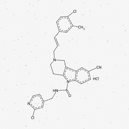 Cc1cc(/C=C/CN2CCc3c(c4cc(C#N)ccc4n3C(=O)NCc3ccnc(Cl)c3)C2)ccc1Cl.Cl